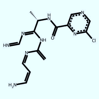 C=C(/N=C\C=C/N)N/C(=N\C=N)[C@H](C)NC(=O)c1cncc(Cl)n1